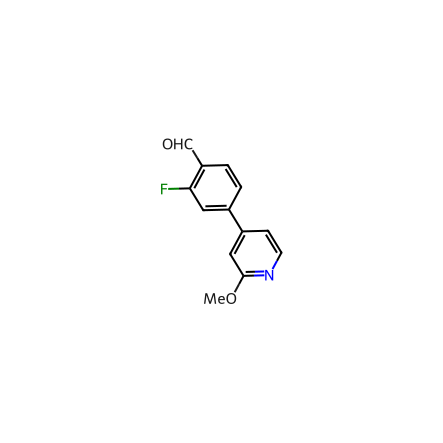 COc1cc(-c2ccc(C=O)c(F)c2)ccn1